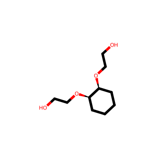 OCCO[C@H]1CCCC[C@H]1OCCO